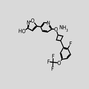 N.Oc1cc(-c2ccc(OC3CC(c4cc(OC(F)(F)F)ccc4F)C3)nc2)on1